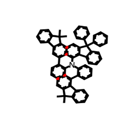 CC1(C)c2ccccc2-c2cc(-c3ccccc3N(c3ccccc3-c3cccc4c3-c3ccccc3C4(C)C)c3cccc4c3-c3ccccc3C4(c3ccccc3)c3ccccc3)ccc21